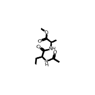 CCC(NC(C)=O)C(=O)NC(C)C(=O)OC